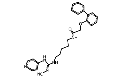 N#C/N=C(/NCCCCCNC(=O)COc1ccccc1-c1ccccc1)Nc1ccncc1